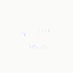 CC(C)(C)NS(=O)(=O)c1ncccc1C(=O)O